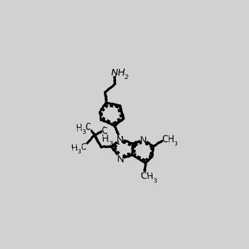 Cc1cc(C)c2nc(CC(C)(C)C)n(-c3ccc(CCN)cc3)c2n1